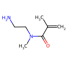 C=C(C)C(=O)N(C)CCN